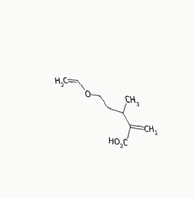 C=COCCC(C)C(=C)C(=O)O